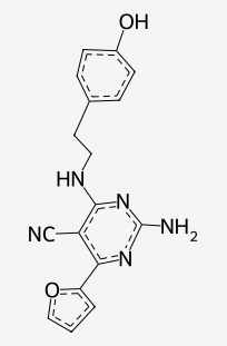 N#Cc1c(NCCc2ccc(O)cc2)nc(N)nc1-c1ccco1